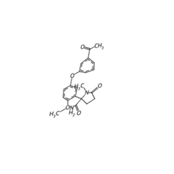 COc1ccc(Oc2cccc(C(C)=O)c2)cc1C1(C(N)=O)CCC(=O)N1C